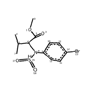 COC(=O)C(C(C)C)N(c1ccc(Br)cc1)[SH](=O)=O